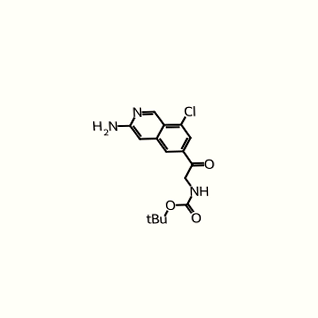 CC(C)(C)OC(=O)NCC(=O)c1cc(Cl)c2cnc(N)cc2c1